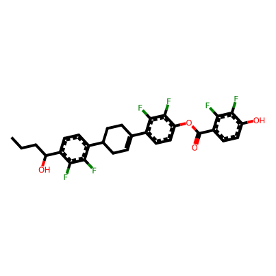 CCCC(O)c1ccc(C2CC=C(c3ccc(OC(=O)c4ccc(O)c(F)c4F)c(F)c3F)CC2)c(F)c1F